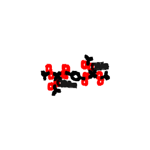 C=C(C)C(=O)OCC(COC)(COC(=O)C(=C)C)COC(=O)C1CCC(C(=O)OCC(COC)(COC(=O)C(=C)C)COC(=O)C(=C)C)CC1